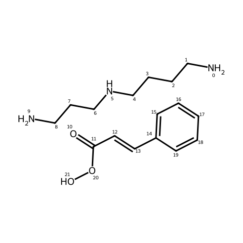 NCCCCNCCCN.O=C(C=Cc1ccccc1)OO